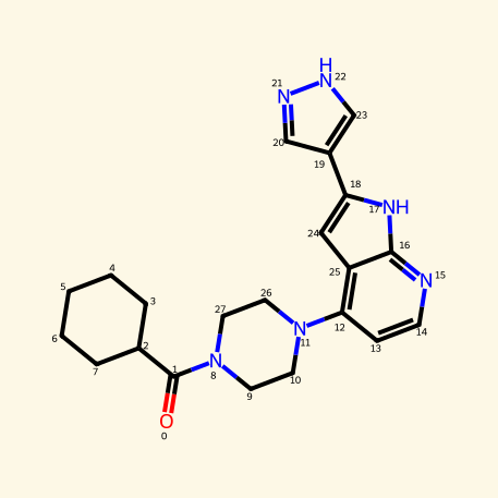 O=C(C1CCCCC1)N1CCN(c2ccnc3[nH]c(-c4cn[nH]c4)cc23)CC1